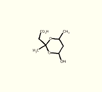 CC1CC(O)OC(C)(CC(=O)O)O1